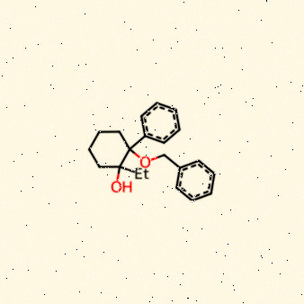 CCC1(O)CCCCC1(OCc1ccccc1)c1ccccc1